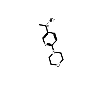 CC(C)[C@@H](C)c1ccc(N2CCOCC2)nc1